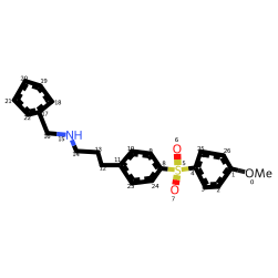 COc1ccc(S(=O)(=O)c2ccc(CCCNCc3ccccc3)cc2)cc1